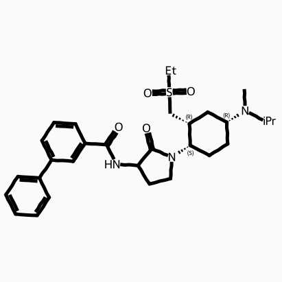 CCS(=O)(=O)C[C@@H]1C[C@H](N(C)C(C)C)CC[C@@H]1N1CCC(NC(=O)c2cccc(-c3ccccc3)c2)C1=O